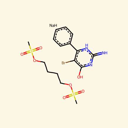 CS(=O)(=O)OCCCCOS(C)(=O)=O.N=c1nc(O)c(Br)c(-c2ccccc2)[nH]1.[NaH]